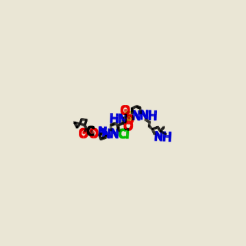 CC1(C)C[C@H](CCCNc2cccc(S(=O)(=O)NC(=O)c3ccc(-n4ccc(OCC(=O)C5CCC56CC6)n4)nc3Cl)n2)CN1